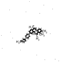 Cc1cccc([C@@H](C)Nc2nnc(C)c3ccc(N4CCN(c5cnn(C)c5)CC4)cc23)c1C